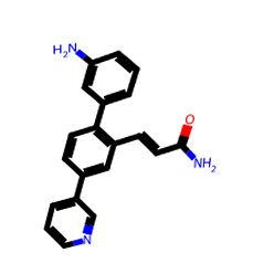 NC(=O)C=Cc1cc(-c2cccnc2)ccc1-c1cccc(N)c1